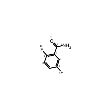 NC(=O)c1cc(F)ccc1F